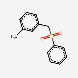 O=S(=O)(Cc1cccc(C(F)(F)F)c1)c1cc[c]cc1